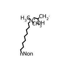 [CH2]C(O)C[N+](C)(C)CCCCCCCCCCCCCCCCCC